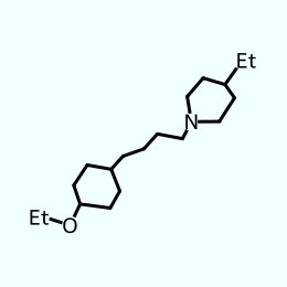 CCOC1CCC(CCCCN2CCC(CC)CC2)CC1